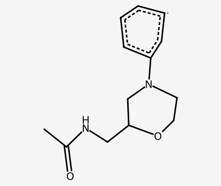 CC(=O)NCC1CN(c2c[c]ccc2)CCO1